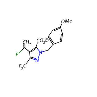 C=C(F)c1c(C(F)(F)F)nn(Cc2ccc(OC)cc2)c1C(=O)OCC